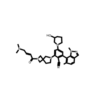 Cc1ccc2cnn(C)c2c1-c1cc(N2CCCC(O)C2)cc(N2CCC3(CN(C(=O)/C=C/CN(C)C)C3)C2)c1C#N